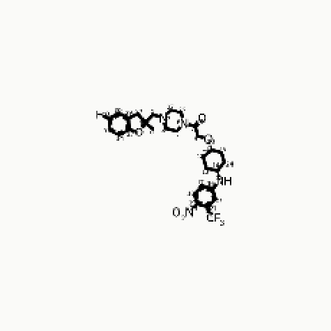 CC1(CN2CCN(C(=O)CO[C@H]3CC[C@H](Nc4ccc([N+](=O)[O-])c(C(F)(F)F)c4)CC3)CC2)Cc2cc(F)ccc2O1